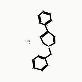 Br.C1=CN(Cc2ccccc2)CC=C1c1ccccc1